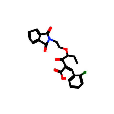 CCC(OCCN1C(=O)c2ccccc2C1=O)C(=O)C(=Cc1ccccc1Cl)C(=O)O